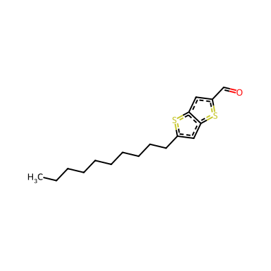 CCCCCCCCCCc1cc2sc(C=O)cc2s1